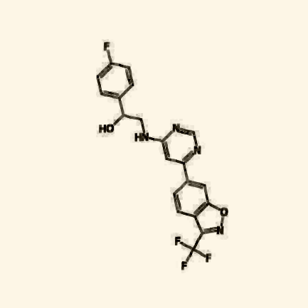 OC(CNc1cc(-c2ccc3c(C(F)(F)F)noc3c2)ncn1)c1ccc(F)cc1